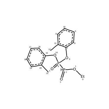 CCO[PH](=O)P(=O)(Oc1ccccc1C)Oc1ccccc1C